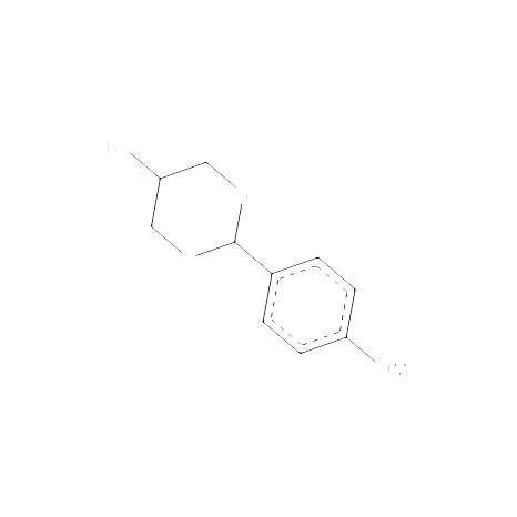 CCCCC1CSC(c2ccc(OC)cc2)SC1